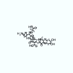 CNc1nc2cc(O)c(O)cc2nc1C(=O)NCC1=C(C(=O)O)N2C(=O)C(NC(=O)/C(=N\OC(C)(C)C(=O)O)c3csc(N)n3)[C@@H]2SC1